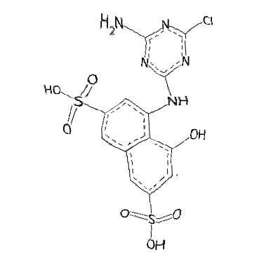 Nc1nc(Cl)nc(Nc2cc(S(=O)(=O)O)cc3cc(S(=O)(=O)O)[c]c(O)c23)n1